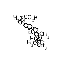 CCC(Oc1ccc(C(CC)(CC)c2ccc3cc(C(=O)N(C)CC(=O)O)ccc3c2)cc1C)C(O)=C(C)C